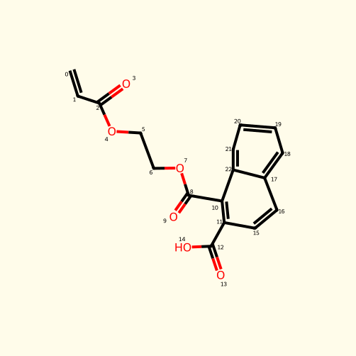 C=CC(=O)OCCOC(=O)c1c(C(=O)O)ccc2ccccc12